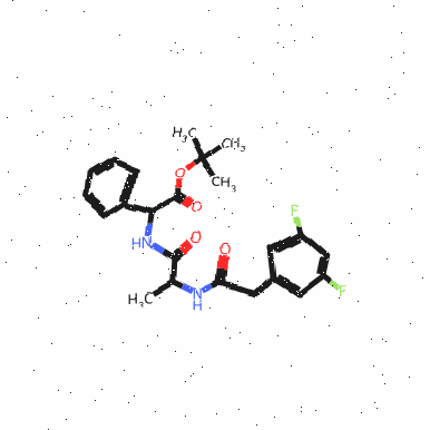 CC(NC(=O)Cc1cc(F)cc(F)c1)C(=O)NC(C(=O)OC(C)(C)C)c1ccccc1